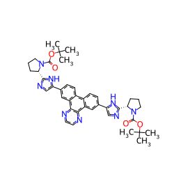 CC(C)(C)OC(=O)N1CCC[C@H]1c1ncc(-c2ccc3c4ccc(-c5cnc([C@@H]6CCCN6C(=O)OC(C)(C)C)[nH]5)cc4c4nccnc4c3c2)[nH]1